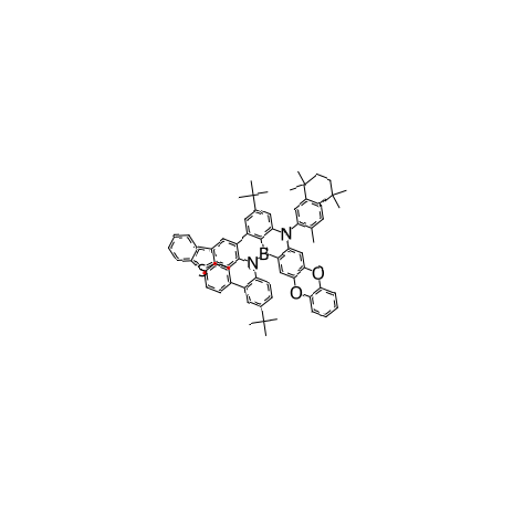 Cc1cc2c(cc1N1c3cc4c(cc3B3c5c(cc(C(C)(C)C)cc51)-c1cc5c(cc1N3c1ccc(C(C)(C)C)cc1-c1ccccc1)sc1ccccc15)Oc1ccccc1O4)C(C)(C)CCC2(C)C